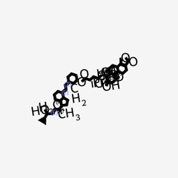 C=C1/C(=C\C=C2/CCC[C@@]3(C)C2CCC3[C@@H](C)/C=C/C(O)C2CC2)CCCC1OC(=O)CCC(=O)O[C@H]1[C@]23O[C@H]2CC2C4=C(CC[C@]2(C)[C@@]32O[C@H]2C[C@@]1(O)C(C)C)C(=O)OC4